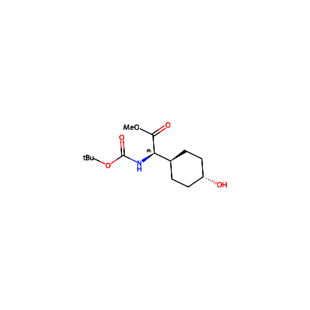 COC(=O)[C@H](NC(=O)OC(C)(C)C)[C@H]1CC[C@H](O)CC1